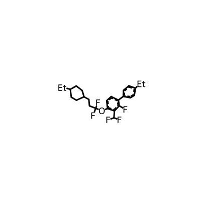 CCc1ccc(-c2ccc(OC(F)(F)CCC3CCC(CC)CC3)c(C(F)F)c2F)cc1